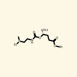 [CH2]C([CH2])OC(=O)CC[C@@H](CCCCCCCC)OC(=O)NCCN(C)CC